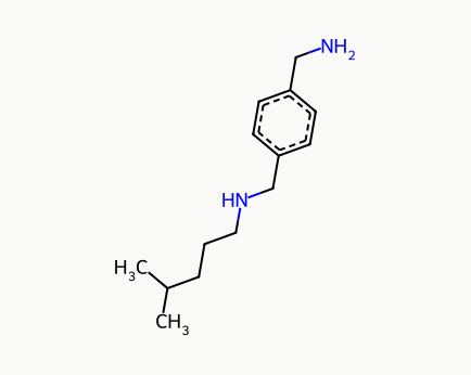 CC(C)CCCNCc1ccc(CN)cc1